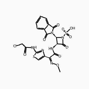 CO/N=C(\C(=O)N[C@@H]1C(=O)N(S(=O)(=O)O)[C@@H]1N1C(=O)c2ccccc2C1=O)c1csc(NC(=O)CCl)n1